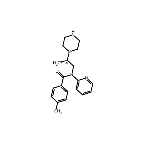 Cc1ccc(C(=O)N(C[C@@H](C)N2CCNCC2)c2ccccn2)cc1